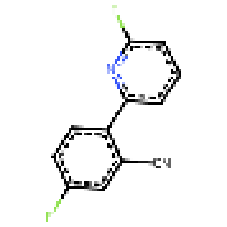 N#Cc1cc(F)ccc1-c1cccc(F)n1